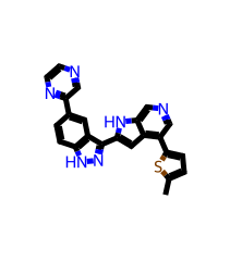 Cc1ccc(-c2cncc3[nH]c(-c4n[nH]c5ccc(-c6cnccn6)cc45)cc23)s1